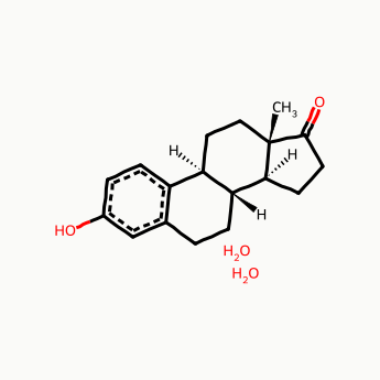 C[C@]12CC[C@@H]3c4ccc(O)cc4CC[C@H]3[C@@H]1CCC2=O.O.O